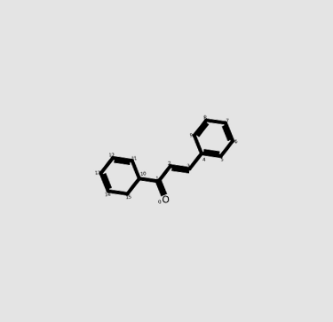 O=C(/C=C/c1ccccc1)C1C=CC=CC1